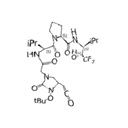 CC(C)[C@H](NC(=O)CN1CC(C=C=O)N(OC(C)(C)C)C1=O)C(=O)N1CCC[C@H]1C(=O)N[C@@H](C(C)C)[C@H](O)C(F)(F)F